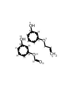 C=CCOc1cccc(O)c1.O=COc1cccc(O)c1